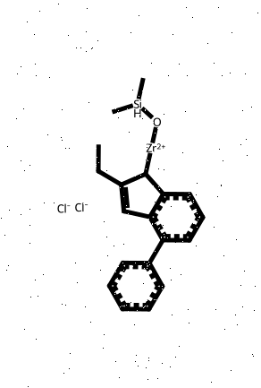 CCC1=Cc2c(-c3ccccc3)cccc2[CH]1[Zr+2][O][SiH](C)C.[Cl-].[Cl-]